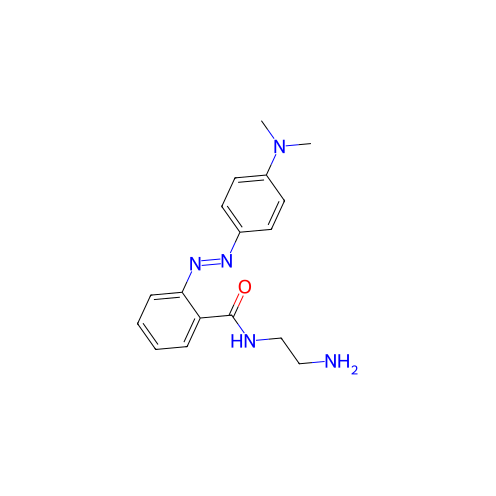 CN(C)c1ccc(N=Nc2ccccc2C(=O)NCCN)cc1